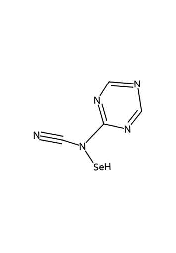 N#CN([SeH])c1ncncn1